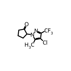 Cc1c(Cl)c(C(F)(F)F)nn1C1CCCC1=O